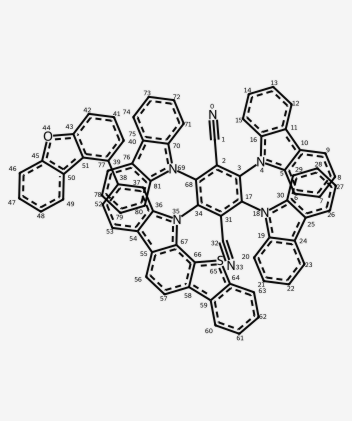 N#Cc1c(-n2c3ccccc3c3ccccc32)c(-n2c3ccccc3c3ccccc32)c(C#N)c(-n2c3cc(-c4cccc5oc6ccccc6c45)ccc3c3ccc4c5ccccc5sc4c32)c1-n1c2ccccc2c2ccccc21